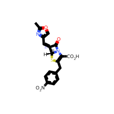 Cc1nc(/C=C2\C(=O)N3C(C(=O)O)=C(Cc4ccc([N+](=O)[O-])cc4)S[C@H]23)co1